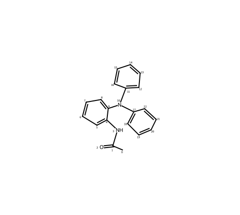 CC(=O)Nc1ccccc1N(c1ccccc1)c1ccccc1